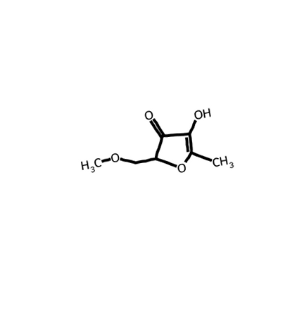 COCC1OC(C)=C(O)C1=O